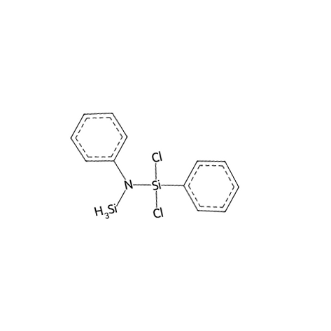 [SiH3]N(c1ccccc1)[Si](Cl)(Cl)c1ccccc1